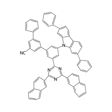 N#Cc1cc(-c2ccccc2)cc(-c2cc(-c3nc(-c4ccc5ccccc5c4)nc(-c4ccc5ccccc5c4)n3)cc(-n3c4cc(-c5ccccc5)ccc4c4ccc(-c5ccccc5)cc43)c2)c1